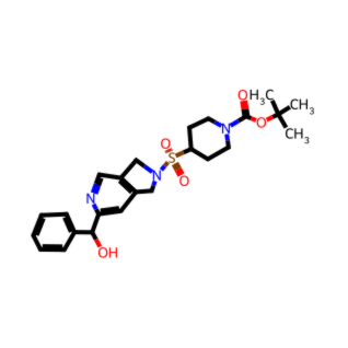 CC(C)(C)OC(=O)N1CCC(S(=O)(=O)N2Cc3cnc(C(O)c4ccccc4)cc3C2)CC1